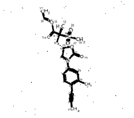 CC#Cc1ccc(N2C[C@H](CC(C)(C(=O)OCC)S(C)(=O)=O)OC2=O)cc1C